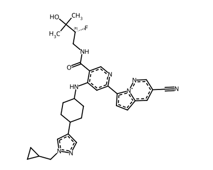 CC(C)(O)[C@H](F)CNC(=O)c1cnc(-c2ccc3cc(C#N)cnn23)cc1NC1CCC(c2cnn(CC3CC3)c2)CC1